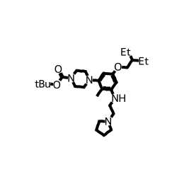 CCC(CC)COc1cc(NCCN2CCCC2)c(C)c(N2CCN(C(=O)OC(C)(C)C)CC2)c1